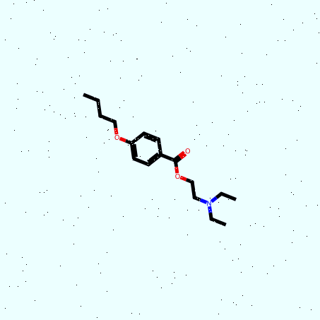 CCCCOc1ccc(C(=O)OCCN(CC)CC)cc1